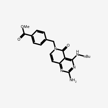 CCCCNc1nc(N)nc2ccn(Cc3ccc(C(=O)OC)cc3)c(=O)c12